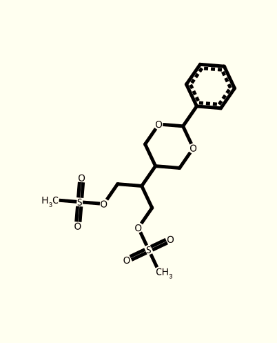 CS(=O)(=O)OCC(COS(C)(=O)=O)C1COC(c2ccccc2)OC1